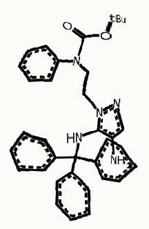 CC(C)(C)OC(=O)N(CCn1ncc(N)c1NC(c1ccccc1)(c1ccccc1)c1ccccc1)c1ccccc1